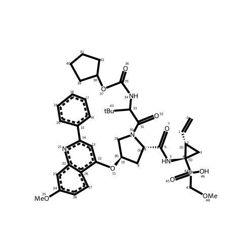 C=C[C@@H]1C[C@]1(NC(=O)[C@@H]1C[C@@H](Oc2cc(-c3ccccc3)nc3cc(OC)ccc23)CN1C(=O)C(NC(=O)OC1CCCC1)C(C)(C)C)P(=O)(O)COC